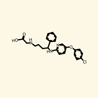 O=C(O)CNCCCC(Nc1ccc(Oc2ccc(Cl)cc2)cn1)c1ccccc1